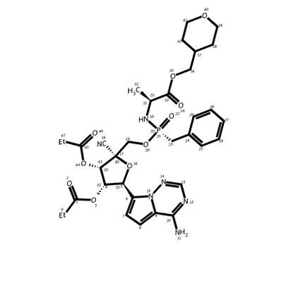 CCC(=O)O[C@H]1[C@H](c2ccc3c(N)ncnn23)O[C@](C#N)(CO[P@@](=O)(Cc2ccccc2)N[C@@H](C)C(=O)OCC2CCOCC2)[C@H]1OC(=O)CC